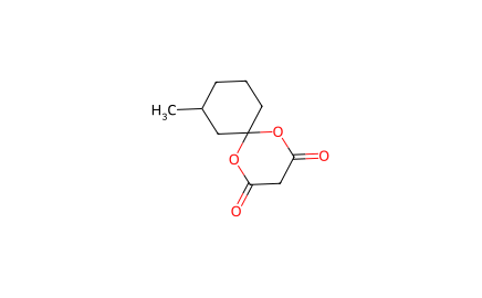 CC1CCCC2(C1)OC(=O)CC(=O)O2